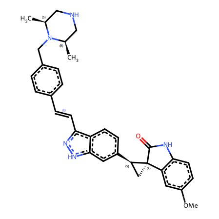 COc1ccc2c(c1)[C@]1(C[C@H]1c1ccc3c(/C=C/c4ccc(CN5[C@H](C)CNC[C@@H]5C)cc4)n[nH]c3c1)C(=O)N2